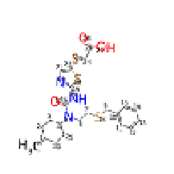 CC1CCC(N(CCSCc2ccccc2)C(=O)Nc2ncc(SCC(=O)O)s2)CC1